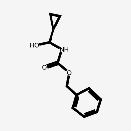 O=C(NC(O)C1CC1)OCc1ccccc1